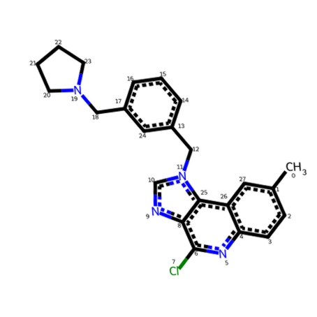 Cc1ccc2nc(Cl)c3ncn(Cc4cccc(CN5CCCC5)c4)c3c2c1